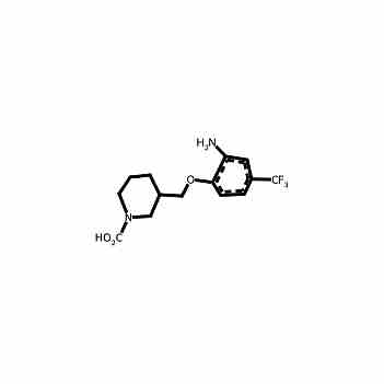 Nc1cc(C(F)(F)F)ccc1OCC1CCCN(C(=O)O)C1